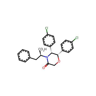 O=C(O)[C@H](Cc1ccccc1)N1C(=O)CO[C@@H](c2ccc(Cl)cc2)[C@H]1c1ccc(Cl)cc1